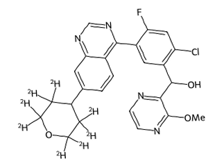 [2H]C1([2H])OC([2H])([2H])C([2H])([2H])C(c2ccc3c(-c4cc(C(O)c5nccnc5OC)c(Cl)cc4F)ncnc3c2)C1([2H])[2H]